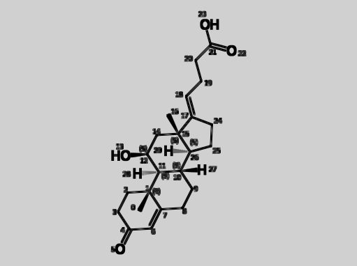 C[C@]12CCC(=O)C=C1CC[C@@H]1[C@@H]2[C@@H](O)C[C@]2(C)C(=CCCC(=O)O)CC[C@@H]12